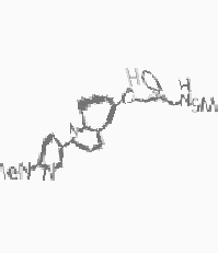 CNc1ccc(-c2ccc3cc(OC[C@H](O)CNSC)ccc3n2)cn1